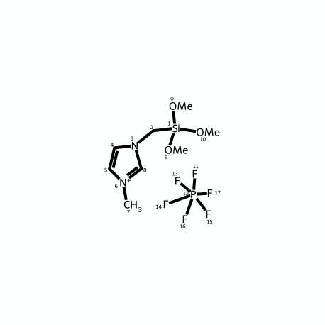 CO[Si](Cn1cc[n+](C)c1)(OC)OC.F[P-](F)(F)(F)(F)F